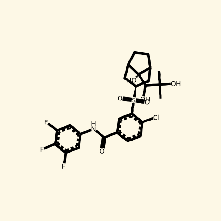 CC(C)(O)C(O)[C@]1(O)C2CCC1C[C@H](S(=O)(=O)c1cc(C(=O)Nc3cc(F)c(F)c(F)c3)ccc1Cl)C2